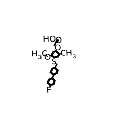 COc1cc(OCC(=O)O)c(C)cc1SCc1ccc(-c2ccc(F)cc2)cc1